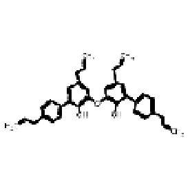 C=CCc1ccc(-c2cc(CC=C)cc(Oc3cc(CC=C)cc(-c4ccc(CC=C)cc4)c3O)c2O)cc1